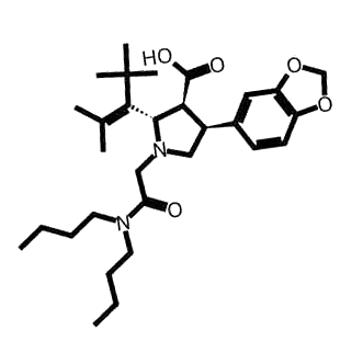 CCCCN(CCCC)C(=O)CN1C[C@H](c2ccc3c(c2)OCO3)[C@H](C(=O)O)[C@H]1C(=C(C)C)C(C)(C)C